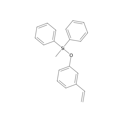 C=Cc1cccc(O[Si](C)(c2ccccc2)c2ccccc2)c1